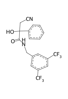 N#CCC(O)(C(=O)NCc1cc(C(F)(F)F)cc(C(F)(F)F)c1)c1ccccc1